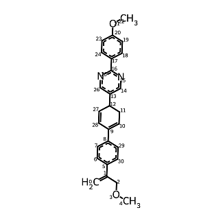 C=C(COC)c1ccc(C2=CCC(c3cnc(-c4ccc(OC)cc4)nc3)C=C2)cc1